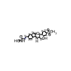 CS(=O)(=O)c1ccc(C(O)C(CO)NC2CCc3cc(/C=C/C(=O)NO)ccc32)cc1